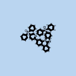 O=P(c1ccccc1)(c1ccccc1)c1ccc(-c2ccc3c4ccccc4c4nc5ccc(P(=O)(c6ccccc6)c6ccccc6)cc5n4c3c2)nc1